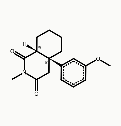 COc1cccc([C@]23CCCC[C@H]2C(=O)N(C)C(=O)C3)c1